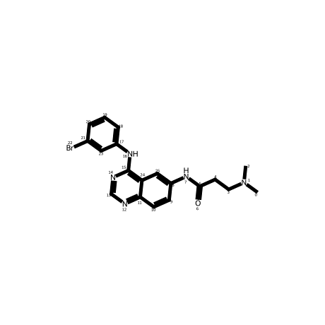 CN(C)CCC(=O)Nc1ccc2ncnc(Nc3cccc(Br)c3)c2c1